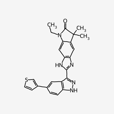 CCN1C(=O)C(C)(C)c2cc3nc(-c4n[nH]c5ccc(-c6ccsc6)cc45)[nH]c3cc21